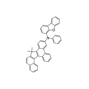 CC1(C)c2ccc3ccccc3c2-c2c1c1ccc(N(c3ccccc3)c3cccc4c3oc3ccccc34)cc1c1ccccc21